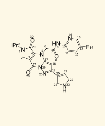 CC(C)N1Cc2c(n(CC(=O)Nc3ccc(F)cn3)c3cc(C4=CCNC4)nn3c2=O)C1=O